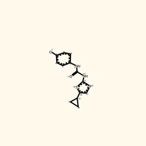 O=C(Nc1ccc(Cl)cc1)Nc1ncc(C2CC2)s1